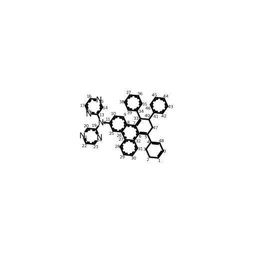 C1=CCCC(C2=c3c(c4ccc(N(c5cnccn5)c5cnccn5)cc4c4ccccc34)=C(c3ccccc3)C(c3ccccc3)C2)=C1